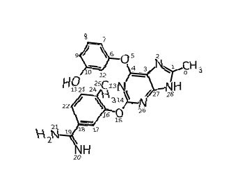 Cc1nc2c(Oc3cccc(O)c3)nc(Oc3cc(C(=N)N)ccc3C)nc2[nH]1